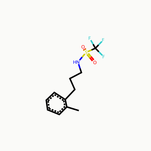 Cc1ccccc1CCCNS(=O)(=O)C(F)(F)F